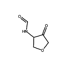 O=CNC1COCC1=O